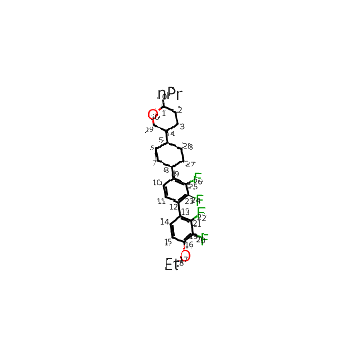 CCCC1CCC(C2CCC(c3ccc(-c4ccc(OCC)c(F)c4F)c(F)c3F)CC2)CO1